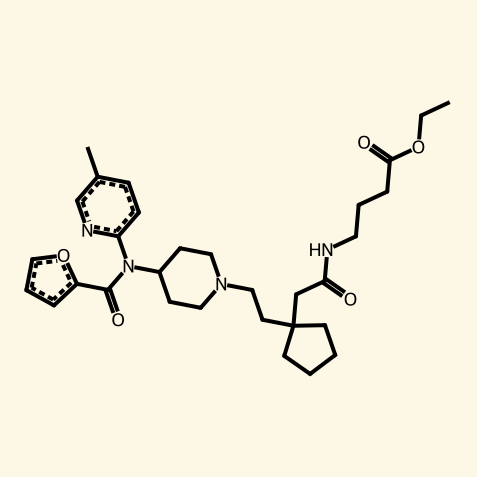 CCOC(=O)CCCNC(=O)CC1(CCN2CCC(N(C(=O)c3ccco3)c3ccc(C)cn3)CC2)CCCC1